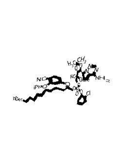 CCCCCCCCCCCCCCCCCCC[C@H](COP(=O)(OC[C@@](C#N)(OC)[C@H]1OC(C)(C)O[C@H]1c1ccc2c(N)ncnn12)Oc1ccccc1Cl)Oc1ccc(C#N)c(OC(C)C)c1